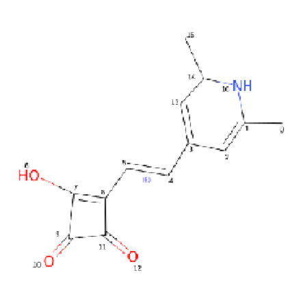 CC1=CC(/C=C/c2c(O)c(=O)c2=O)=CC(C)N1